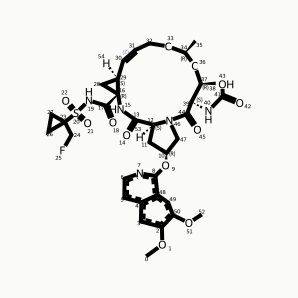 COc1cc2ccnc(O[C@@H]3C[C@H]4C(=O)N[C@]5(C(=O)NS(=O)(=O)C6(CF)CC6)C[C@H]5/C=C\CC[C@@H](C)C[C@@H](C)[C@H](NC(=O)O)C(=O)N4C3)c2cc1OC